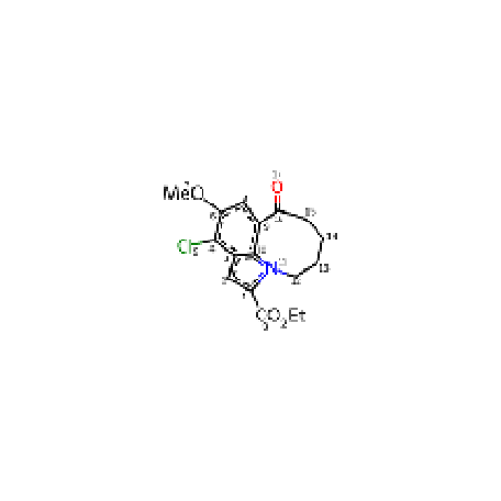 CCOC(=O)c1cc2c(Cl)c(OC)cc3c2n1CCCCC3=O